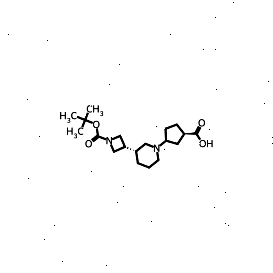 CC(C)(C)OC(=O)N1CC([C@H]2CCCN(C3CC[C@@H](C(=O)O)C3)C2)C1